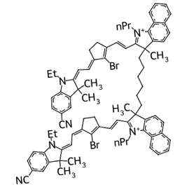 CCC[N+]1=C(C=CC2=C(Br)C(=CC=C3N(CC)c4ccc(C#N)cc4C3(C)C)CC2)C(C)(CCCCCCC2(C)C(C=CC3=C(Br)C(=CC=C4N(CC)c5ccc(C#N)cc5C4(C)C)CC3)=[N+](CCC)c3c2ccc2ccccc32)c2ccc3ccccc3c21